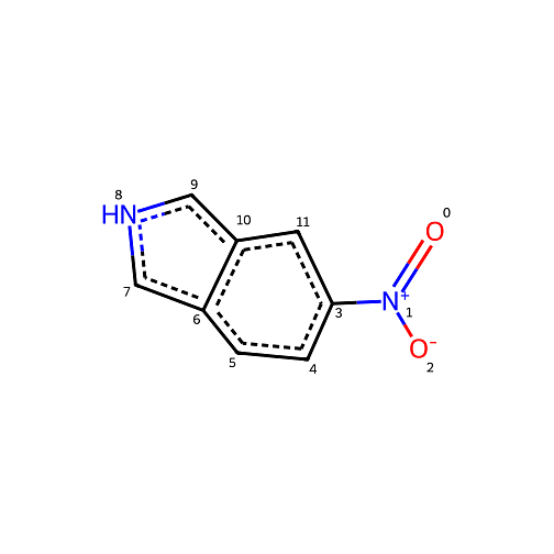 O=[N+]([O-])c1ccc2c[nH]cc2c1